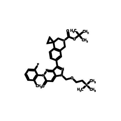 Cc1cccc(F)c1-n1nc2c(-c3ccc4c(c3)CN(C(=O)OC(C)(C)C)CC43CC3)nn(COCC[Si](C)(C)C)c2cc1=O